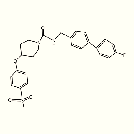 CS(=O)(=O)c1ccc(OC2CCN(C(=O)NCc3ccc(-c4ccc(F)cc4)cc3)CC2)cc1